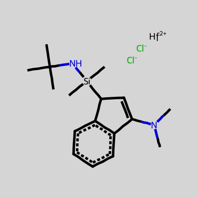 CN(C)C1=CC([Si](C)(C)NC(C)(C)C)c2ccccc21.[Cl-].[Cl-].[Hf+2]